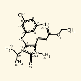 CCOC(=O)/C=C/c1c(Sc2cc(Cl)cc(Cl)c2)n(C(C)C)c(=O)n1C